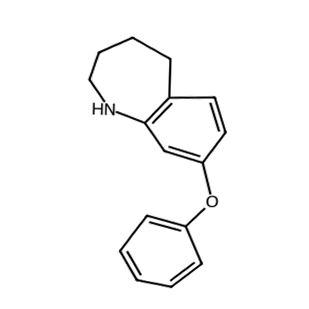 c1ccc(Oc2ccc3c(c2)NCCCC3)cc1